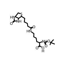 CC(C)(C)OC(=O)NC(CCCCNC(=O)CCCCC1SCC2NC(=O)NC21)C(=O)O